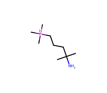 CC(C)(N)CCC[PH](C)(C)C